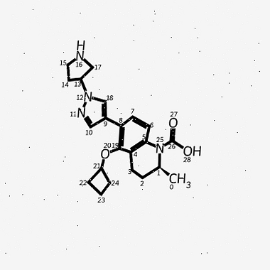 C[C@H]1CCc2c(ccc(-c3cnn(C4CCNC4)c3)c2OC2CCC2)N1C(=O)O